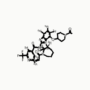 [2H]c1nc(C(F)(F)F)c([2H])c(C(=O)Nc2nc3c([2H])c([2H])c([2H])c(OC4CCN(C(C)=O)CC4)c3n2[C@]2([2H])CCCCN(C(=O)C=C)C2([2H])[2H])c1[2H]